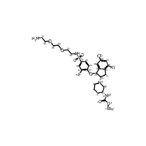 CC(C)(C)OC(=O)N[C@@H]1CCCN([C@H]2Cc3c(Cl)cc(Cl)cc3[C@@H]2Oc2ccc(S(=O)(=O)NCCOCCOCCN)cc2F)C1